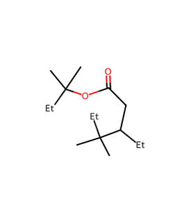 CCC(CC(=O)OC(C)(C)CC)C(C)(C)CC